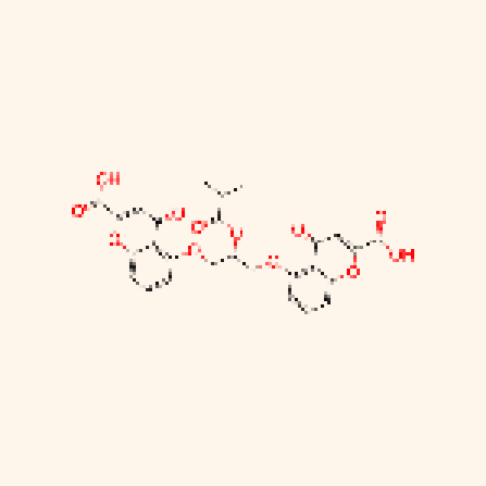 CC(C)C(=O)OC(COc1cccc2oc(C(=O)O)cc(=O)c12)COc1cccc2oc(C(=O)O)cc(=O)c12